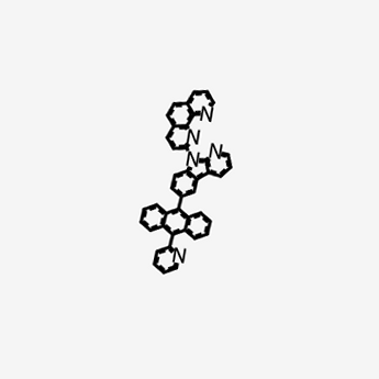 c1ccc(-c2c3ccccc3c(-c3ccc4c(c3)c3cccnc3n4-c3ccc4ccc5cccnc5c4n3)c3ccccc23)nc1